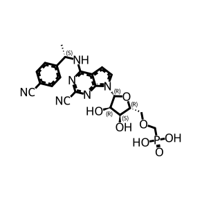 C[C@H](Nc1nc(C#N)nc2c1ccn2[C@@H]1O[C@H](COCP(=O)(O)O)[C@@H](O)[C@H]1O)c1ccc(C#N)cc1